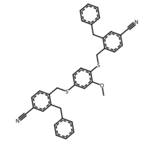 COc1cc(SCc2ccc(C#N)cc2Cc2ccccc2)ccc1SCc1ccc(C#N)cc1Cc1ccccc1